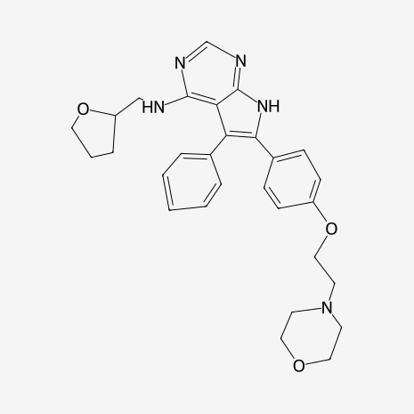 c1ccc(-c2c(-c3ccc(OCCN4CCOCC4)cc3)[nH]c3ncnc(NCC4CCCO4)c23)cc1